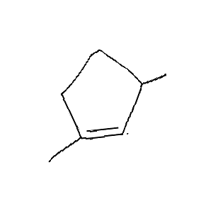 CC1=[C]C(C)CC1